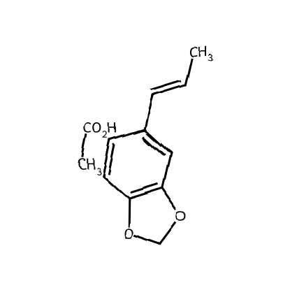 CC(=O)O.CC=Cc1ccc2c(c1)OCO2